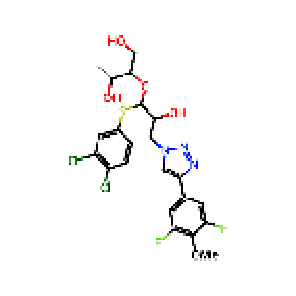 COc1c(F)cc(-c2cn(C[C@H](O)C(OC(CO)[C@@H](C)O)Sc3ccc(Cl)c(Cl)c3)nn2)cc1F